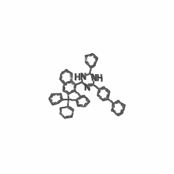 C1=CCCC(C2(c3ccccc3)c3ccccc3-c3c2cc2ccccc2c3C2N=C(c3ccc(-c4ccccc4)cc3)NC(c3ccccc3)N2)=C1